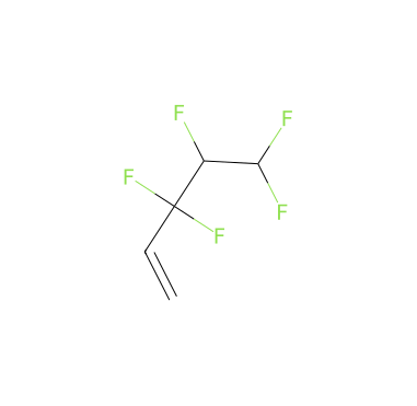 C=CC(F)(F)C(F)C(F)F